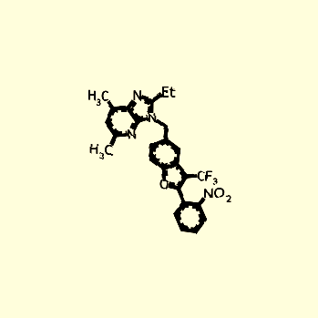 CCc1nc2c(C)cc(C)nc2n1Cc1ccc2oc(-c3ccccc3[N+](=O)[O-])c(C(F)(F)F)c2c1